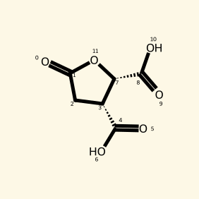 O=C1C[C@@H](C(=O)O)[C@@H](C(=O)O)O1